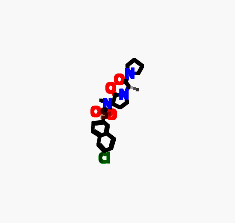 C[C@@H](C(=O)N1CCCC1)N1CC[C@H](N(C)S(=O)(=O)c2ccc3cc(Cl)ccc3c2)C1=O